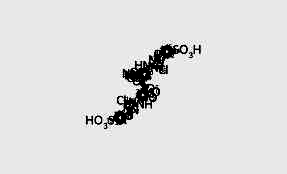 O=S(=O)([O-])c1cc(Nc2nc(Cl)nc(Oc3ccc(S(=O)(=O)O)cc3)n2)ccc1C=Cc1ccc(Nc2nc(Cl)nc(Oc3ccc(S(=O)(=O)O)cc3)n2)cc1S(=O)(=O)[O-].[Na+].[Na+]